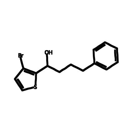 OC(CCCc1ccccc1)c1sccc1Br